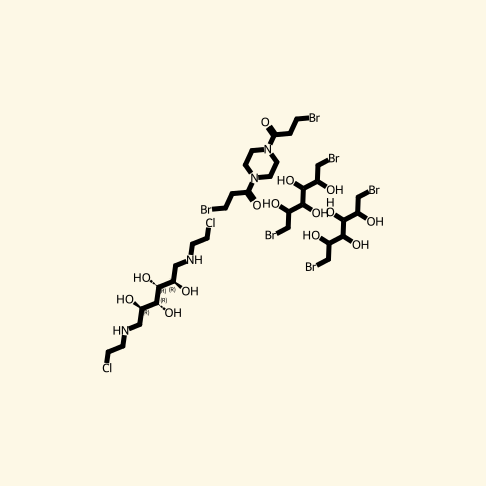 O=C(CCBr)N1CCN(C(=O)CCBr)CC1.OC(CBr)C(O)C(O)C(O)CBr.OC(CBr)C(O)C(O)C(O)CBr.O[C@@H]([C@H](O)[C@H](O)CNCCCl)[C@H](O)CNCCCl